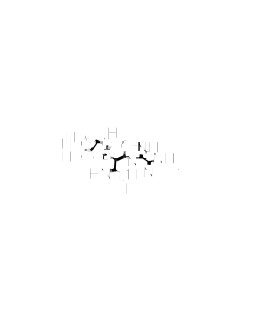 CC(=N)/C(B1OC(C)(C)C(C)(C)O1)=C(/C)NC(=N)C(=N)N